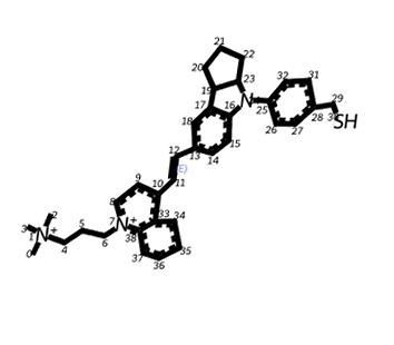 C[N+](C)(C)CCC[n+]1ccc(/C=C/c2ccc3c(c2)C2CCCC2N3c2ccc(CS)cc2)c2ccccc21